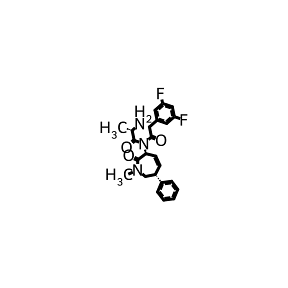 C[C@H](N)C(=O)N(C(=O)Cc1cc(F)cc(F)c1)[C@H]1C=C[C@H](c2ccccc2)CN(C)C1=O